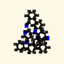 N#Cc1cccc(-c2c(-n3c4ccccc4c4ccc(-c5ccccc5C#N)cc43)cncc2-n2c3ccccc3c3ccc(-c4ccccc4C#N)cc32)c1